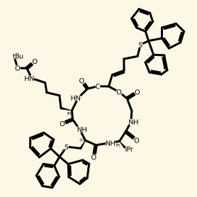 CC(C)[C@H]1NC(=O)[C@@H](CSC(c2ccccc2)(c2ccccc2)c2ccccc2)NC(=O)[C@@H](CCCCNC(=O)OC(C)(C)C)NC(=O)CC(C=CCCSC(c2ccccc2)(c2ccccc2)c2ccccc2)OC(=O)CNC1=O